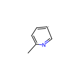 Cc1cc[c]cn1